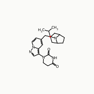 CC(C)CN1C2CCC1CC(Cc1ccn3ncc(N4CCC(=O)NC4=O)c3c1)C2